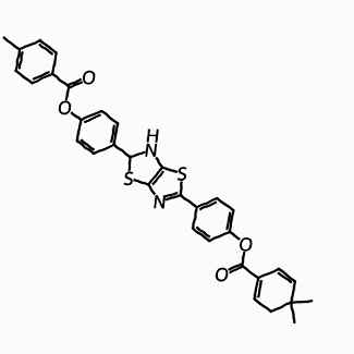 Cc1ccc(C(=O)Oc2ccc(C3Nc4sc(-c5ccc(OC(=O)C6=CCC(C)(C)C=C6)cc5)nc4S3)cc2)cc1